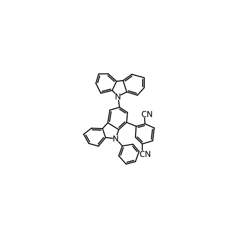 N#Cc1ccc(C#N)c(-c2cc(-n3c4ccccc4c4ccccc43)cc3c4ccccc4n(-c4ccccc4)c23)c1